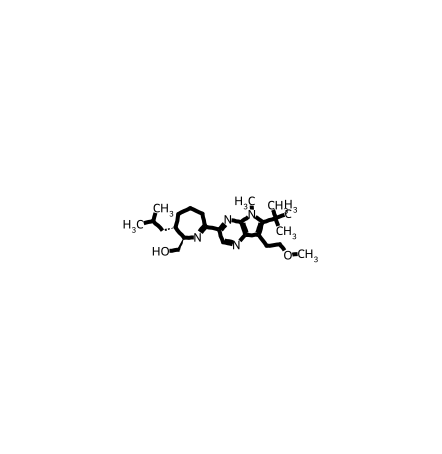 COCCc1c(C(C)(C)C)n(C)c2nc(C3=N[C@@H](CO)[C@H](CC(C)C)CCC3)cnc12